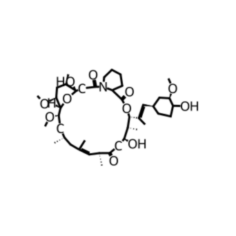 CO[C@H]1C[C@@H](C)C/C(C)=C/[C@@H](C)C(=O)C[C@H](O)[C@@H](C)[C@@H](/C(C)=C/[C@@H]2CCC(O)[C@H](OC)C2)OC(=O)C2CCCCN2C(=O)C[C@]2(O)O[C@H]1[C@@H](OC)C[C@H]2C